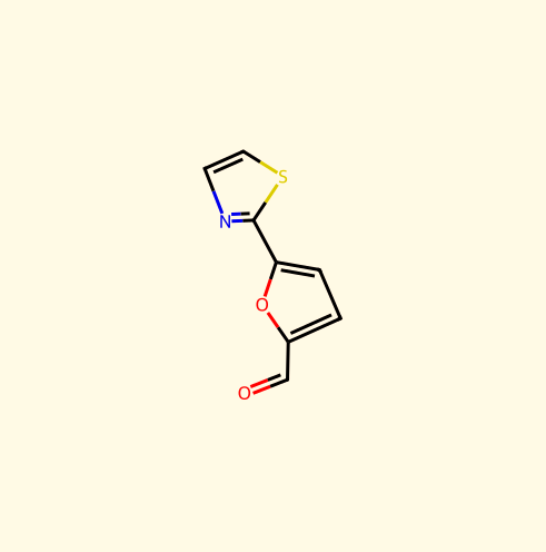 O=Cc1ccc(-c2nccs2)o1